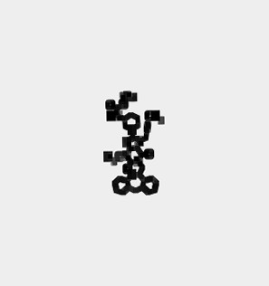 CC#CCn1c(N2CCCC(NC(=O)OC(C)(C)C)C2)nc2c1c(=O)n(CC1=Nc3ccccc3Cc3ccccc31)c(=O)n2C